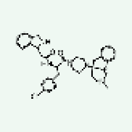 CN1CCC(Cc2ccccc2F)(N2CCN(C(=O)C(Cc3ccc(Cl)cc3)NC(=O)CC3NCc4ccccc43)CC2)CC1